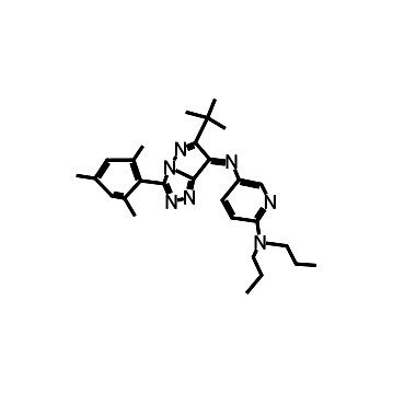 CCCN(CCC)c1ccc(/N=C2/C(C(C)(C)C)=Nn3c2nnc3-c2c(C)cc(C)cc2C)cn1